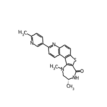 Cc1ccc(-c2ccc3c(ccc4sc5c(c43)N(C)C[C@@H](C)NC5=O)n2)cn1